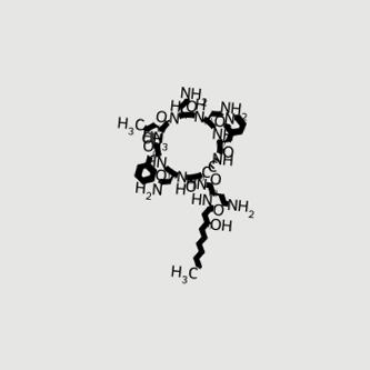 CCCCCCC[C@@H](O)CC(=O)N[C@H](CCN)C(=O)N[C@H]1CCNC(=O)[C@H](Cc2cccnc2)NC(=O)[C@H](CCN)NC(=O)[C@H](CCN)NC(=O)[C@H](CC(C)C)NC(=O)[C@@H](Cc2ccccc2)NC(=O)[C@H](CCN)NC1=O